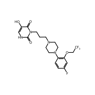 O=c1[nH]cc(O)c(=O)n1CCCN1CCN(c2ccc(F)cc2OCC(F)(F)F)CC1